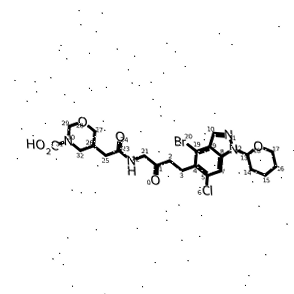 O=C(CCc1c(Cl)cc2c(cnn2C2CCCCO2)c1Br)CNC(=O)CC1COCN(C(=O)O)C1